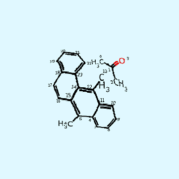 CC(C)=O.Cc1c2ccccc2c(C)c2c1ccc1ccccc12